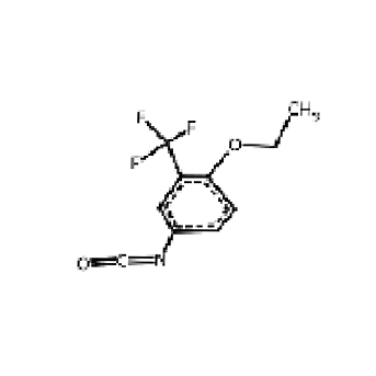 CCOc1ccc(N=C=O)cc1C(F)(F)F